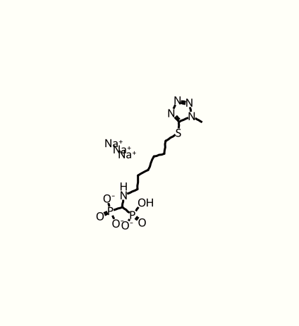 Cn1nnnc1SCCCCCCNC(P(=O)([O-])[O-])P(=O)([O-])O.[Na+].[Na+].[Na+]